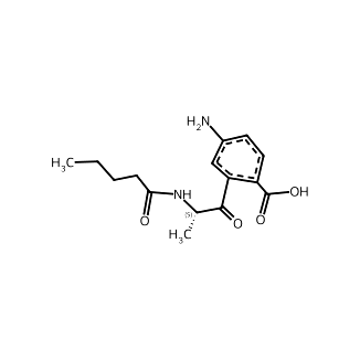 CCCCC(=O)N[C@@H](C)C(=O)c1cc(N)ccc1C(=O)O